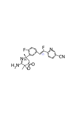 CC1(C)C(N)=N[C@](C)(c2cc(/C=C(\F)c3ccc(C#N)cn3)ccc2F)CS1(=O)=O